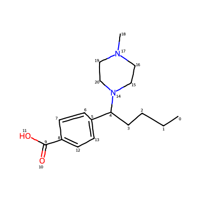 CCCCC(c1ccc(C(=O)O)cc1)N1CCN(C)CC1